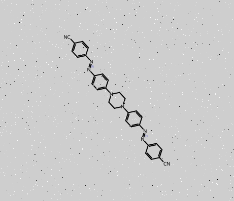 N#Cc1ccc(/N=N/c2ccc(N3CCN(c4ccc(/N=N/c5ccc(C#N)cc5)cc4)CC3)cc2)cc1